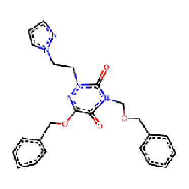 O=c1c(OCc2ccccc2)nn(CCn2cccn2)c(=O)n1COCc1ccccc1